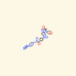 C[C@@H]1C(=O)N(C)c2ccc(Nc3ccc(C(=O)NCCN4CCN(CN=[N+]=[N-])CC4)cc3)nc2N1C1CCOCC1